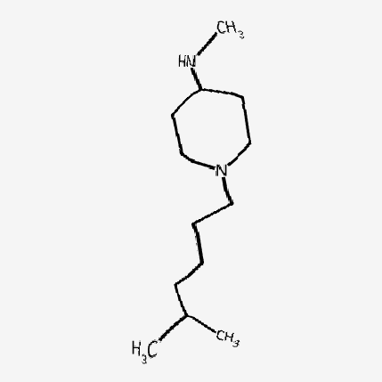 CNC1CCN(CCCCC(C)C)CC1